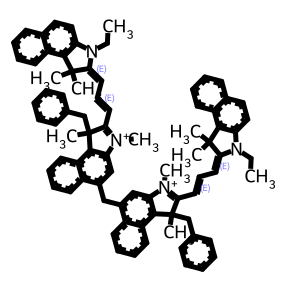 CCN1/C(=C/C=C/C2=[N+](C)c3cc(Cc4cc5c(c6ccccc46)C(C)(Cc4ccccc4)C(/C=C/C=C4/N(CC)c6ccc7ccccc7c6C4(C)C)=[N+]5C)c4ccccc4c3C2(C)Cc2ccccc2)C(C)(C)c2c1ccc1ccccc21